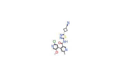 COc1cnc(Cl)cc1-c1cc(C)ncc1C(=O)Nc1nnc([C@H]2C[C@H](C#N)C2)s1